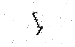 CCCCCC1OC1CC=CCCCCCCCCO